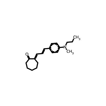 CCCN(C)c1ccc(/C=C/C=C2\CCCCCC2=O)cc1